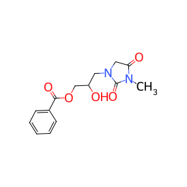 CN1C(=O)CN(CC(O)COC(=O)c2ccccc2)C1=O